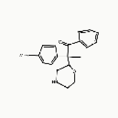 CSc1ccc(C(C)(C(=O)c2ccccc2)C2CNCCO2)cc1